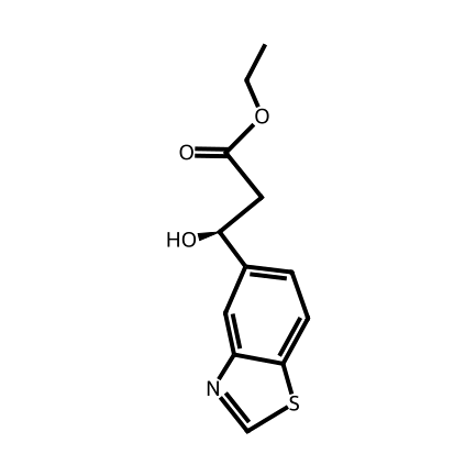 CCOC(=O)C[C@H](O)c1ccc2scnc2c1